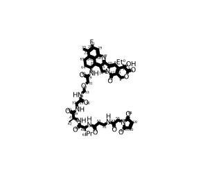 CC[C@@]1(O)C(=O)OCc2c1cc1n(c2=O)Cc2c-1nc1cc(F)c(C)c3c1c2[C@@H](NC(=O)COCNC(=O)CNC(=O)[C@H](C)NC(=O)[C@@H](NC(=O)CCNC(=O)CN1C(=O)C=CC1=O)C(C)C)CC3